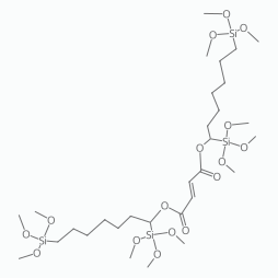 CO[Si](CCCCCCC(OC(=O)C=CC(=O)OC(CCCCCC[Si](OC)(OC)OC)[Si](OC)(OC)OC)[Si](OC)(OC)OC)(OC)OC